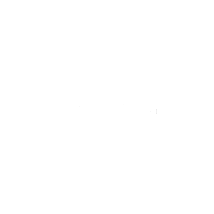 O=C(OCCCC(O)C1CC1)c1ccccc1